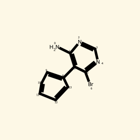 Nc1ncnc(Br)c1-c1ccccc1